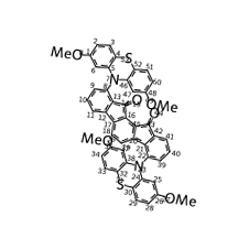 COc1ccc2c(c1)N(c1cccc3c1c(=O)c1c3ccc3c4c(N5c6cc(OC)ccc6Sc6ccc(OC)cc65)cccc4c(=O)c31)c1cc(OC)ccc1S2